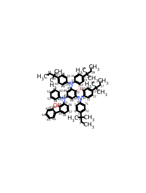 CCC(C)(C)c1ccc(N2c3ccc(C(C)(C)CC)cc3B3c4cc(C(C)(C)CC)ccc4N(c4ccc(C(C)(C)CC)cc4)c4cc(N(c5ccccc5)c5cccc6c5oc5ccccc56)cc2c43)cc1